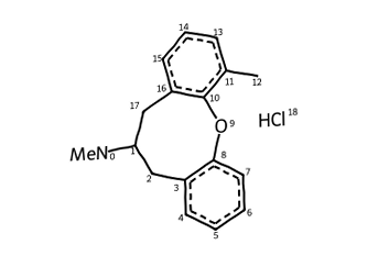 CNC1Cc2ccccc2Oc2c(C)cccc2C1.Cl